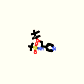 CC(C)(C)[Si](C)(C)OCC(NS(=O)(=O)C(C)(C)C)c1ccncc1